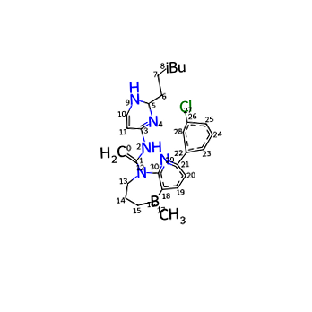 C=C(NC1=NC(CCC(C)CC)NC=C1)N1CCCB(C)c2ccc(-c3cccc(Cl)c3)nc21